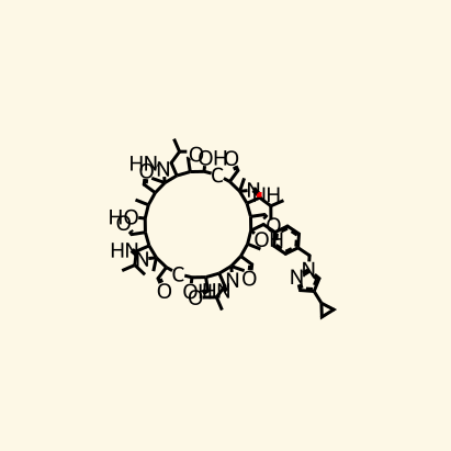 CC(C)CC1C(C=O)C(O)C(C)C(C=O)C(C)(N=N)C(CC(C)C)C(C=O)C(O)CC(C=O)C(C)(N=N)C(CC(C)C)C(C=O)C(O)(Cc2ccc(Cn3cc(C4CC4)cn3)cc2)C(C)C(C=O)C(C)(N=N)C(CC(C)C)C(C=O)C(O)CC(C=O)C1(C)N=N